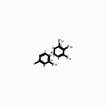 Cc1ccc([C@H]2C=C(F)C(F)=C(F)C2)c(F)c1